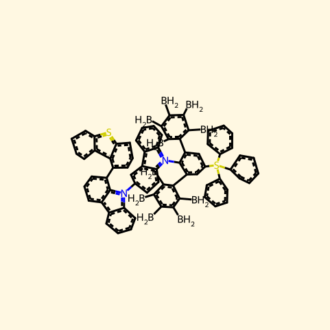 Bc1c(B)c(B)c(-c2cc(S(c3ccccc3)(c3ccccc3)c3ccccc3)cc(-c3c(B)c(B)c(B)c(B)c3B)c2-n2c3ccccc3c3cc(-n4c5ccccc5c5cccc(-c6cccc7sc8ccccc8c67)c54)ccc32)c(B)c1B